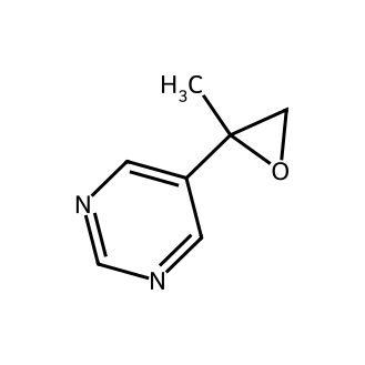 CC1(c2cncnc2)CO1